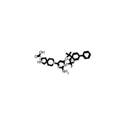 CC(C)(C)C1([C@@H](Oc2cc(N3CCC4(CC3)CN[C@H](C(=O)O)C4)nc(N)n2)C(F)(F)F)C=CC(c2ccccc2)C=C1